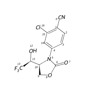 N#Cc1ccc(N2C(=O)OC[C@H]2[C@H](O)C(F)(F)F)cc1Cl